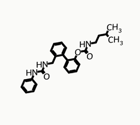 CC(C)CCNC(=O)Oc1ccccc1-c1ccccc1CNC(=O)Nc1ccccc1